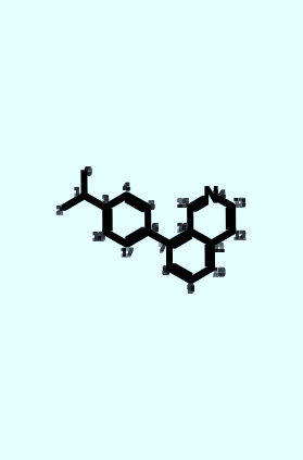 CC(C)c1ccc(-c2cccc3ccncc23)cc1